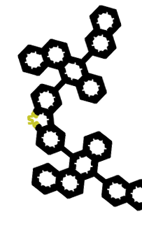 c1ccc2cc(-c3c4ccccc4c(-c4ccc5sc6ccc(-c7c8ccccc8c(-c8ccc9ccccc9c8)c8ccc9ccccc9c78)cc6c5c4)c4c3ccc3ccccc34)ccc2c1